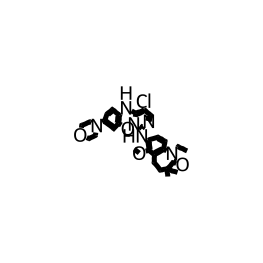 CCN1C(=O)C(C)(C)CCc2c1ccc(Nc1ncc(Cl)c(Nc3ccc(N4CCOCC4)cc3OC)n1)c2OC